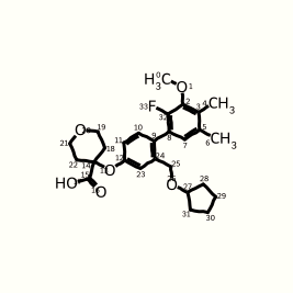 COc1c(C)c(C)cc(-c2ccc(OC3(C(=O)O)CCOCC3)cc2COC2CCCC2)c1F